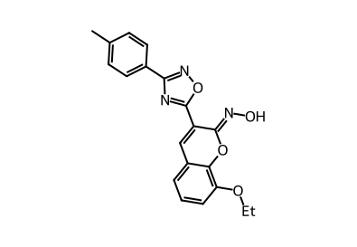 CCOc1cccc2cc(-c3nc(-c4ccc(C)cc4)no3)/c(=N/O)oc12